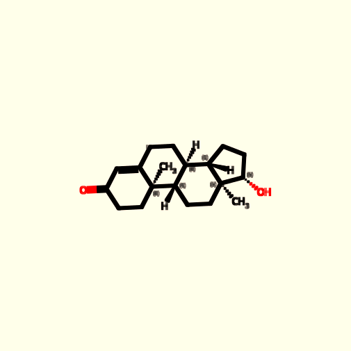 C[C@]12CC[C@H]3[C@@H](C[C]C4=CC(=O)CC[C@@]43C)[C@@H]1CC[C@@H]2O